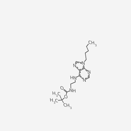 CCCCCn1cnc2c(NCCNC(=O)OC(C)(C)C)ncnc21